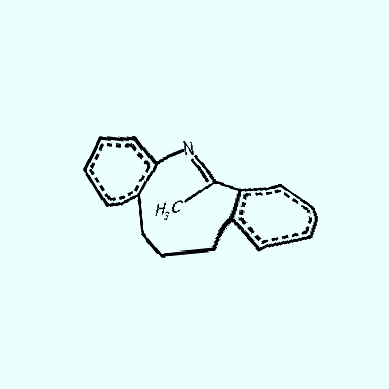 C/C1=N\c2ccccc2CCCc2ccccc21